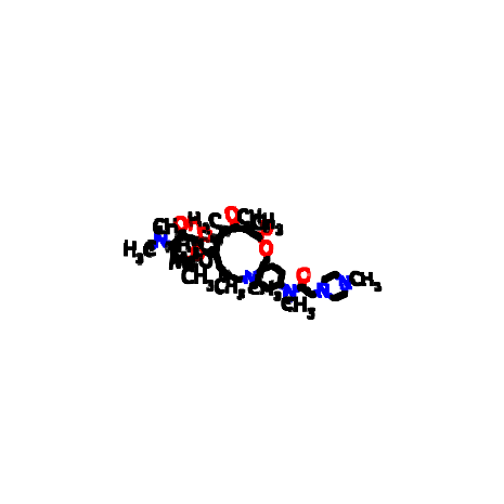 CO[C@]1(C)C[C@@H](C)CN(C)C2(CCC(N(C)C(=O)CN3CCN(C)CC3)CC2)COC(=O)C(C)(C)C(=O)[C@H](C)[C@H]1O[C@@H]1O[C@H](C)C[C@H](N(C)C)[C@H]1O